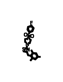 Cc1cc(C)c(Cc2csc(N3CCN(S(=O)(=O)c4ccc(F)cc4)CC3)n2)c(C)c1